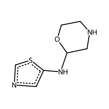 c1ncc(NC2CNCCO2)s1